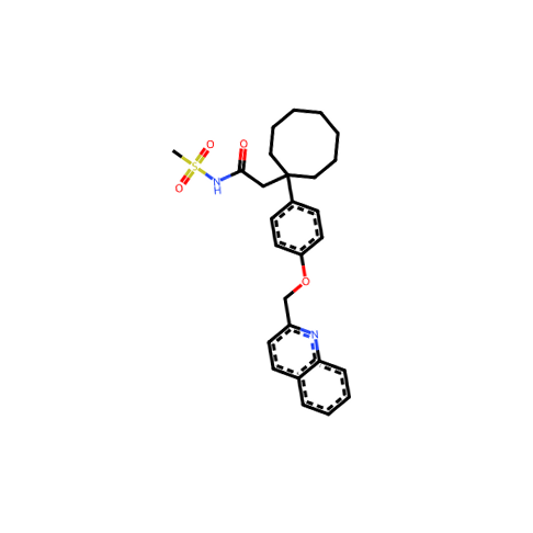 CS(=O)(=O)NC(=O)CC1(c2ccc(OCc3ccc4ccccc4n3)cc2)CCCCCCC1